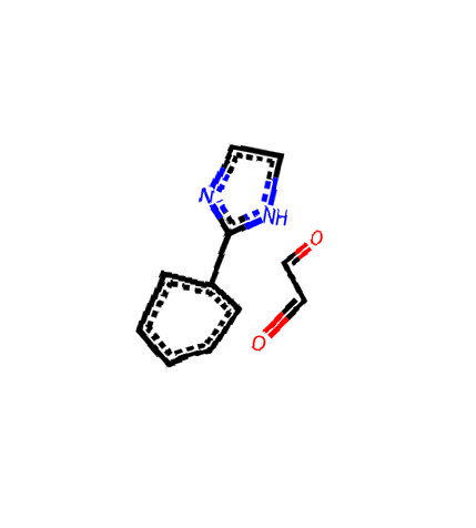 O=CC=O.c1ccc(-c2ncc[nH]2)cc1